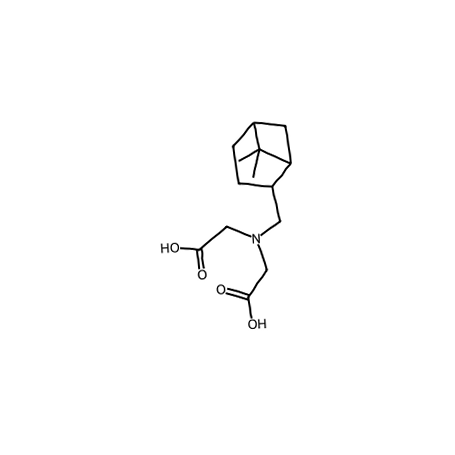 CC1(C)C2CCC(CN(CC(=O)O)CC(=O)O)C1C2